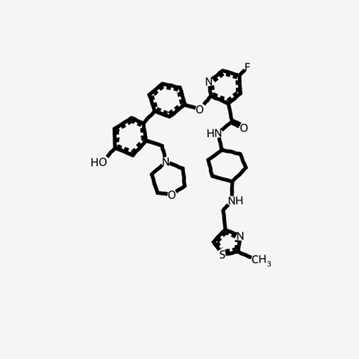 Cc1nc(CNC2CCC(NC(=O)c3cc(F)cnc3Oc3cccc(-c4ccc(O)cc4CN4CCOCC4)c3)CC2)cs1